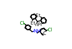 CCCC(c1ccccc1CC)c1ccccc1CC.Clc1ccc(CNCc2ccc(Cl)cc2)cc1